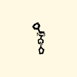 c1ccc(-c2csc(C3CCN(C4CCCC4)CC3)n2)cc1